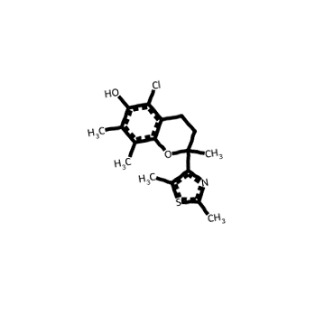 Cc1nc(C2(C)CCc3c(Cl)c(O)c(C)c(C)c3O2)c(C)s1